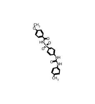 COc1ccc(C(=O)NS(=O)(=O)c2ccc(NC(=O)Nc3ccc(C)cc3)cc2)cc1